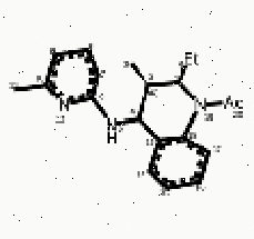 CCC1[C@H](C)C(Nc2cccc(C)n2)c2ccccc2N1C(C)=O